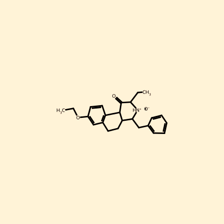 CCOc1ccc2c(c1)CCC1C2C(=O)C(CC)[NH+]([O-])C1Cc1ccccc1